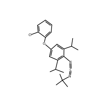 CC(C)c1cc(Oc2ccccc2Cl)cc(C(C)C)c1N=C=NC(C)(C)C